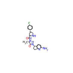 C[C@H](NC(=O)[C@H]1C[C@H](c2ccc(F)cc2)CN1)C(=O)NC1CCc2nc(N)ccc21